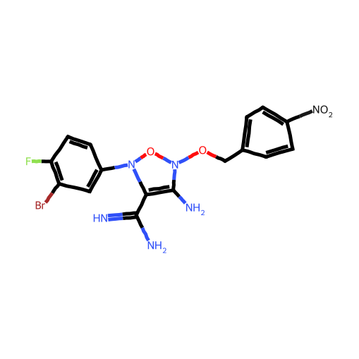 N=C(N)C1=C(N)N(OCc2ccc([N+](=O)[O-])cc2)ON1c1ccc(F)c(Br)c1